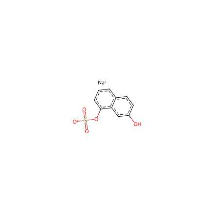 O=S(=O)([O-])Oc1cccc2ccc(O)cc12.[Na+]